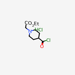 CCOC(=O)CN1CCC(C(=O)Cl)CC1.Cl